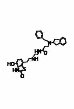 O=C(CCN(CCc1ccccc1)C1Cc2ccccc2C1)NCCNCCc1ccc(O)c2[nH]c(=O)sc12